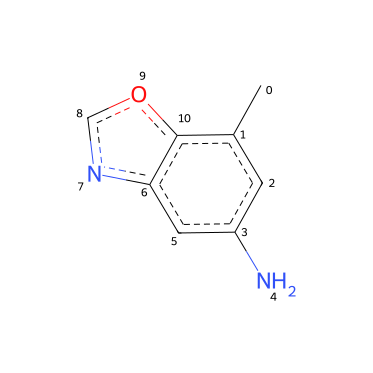 Cc1cc(N)cc2ncoc12